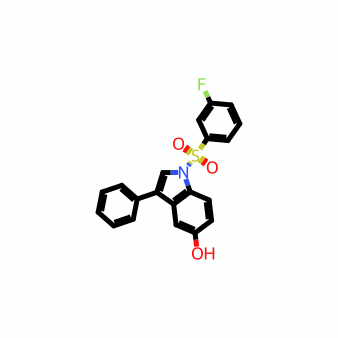 O=S(=O)(c1cccc(F)c1)n1cc(-c2ccccc2)c2cc(O)ccc21